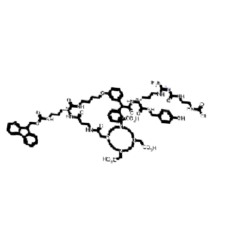 CCC(=O)NCCNC(=O)/N=C(/N)NCCC[C@@H](NC(=O)C(c1ccccc1)c1cccc(OCCCCNC(=O)[C@@H](CCCNC(=O)OCC2c3ccccc3-c3ccccc32)NC(=O)CCNC(=O)CN2CCN(CC(=O)O)CCN(CC(=O)O)CCN(CC(=O)O)CC2)c1)C(=O)NCc1ccc(O)cc1